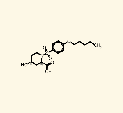 CCCCCOc1ccc(S(=O)(=O)N2CC[C@H](O)C[C@@H]2C(=O)O)cc1